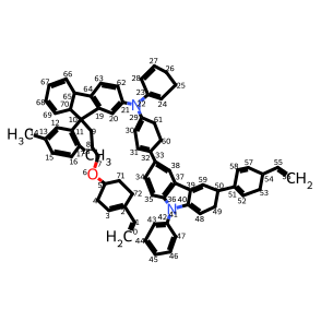 C=CC1=CCC(OCCCC2(c3cc(C)ccc3C)c3cc(N(C4=CCCC=C4)C4=CC=C(c5ccc6c(c5)c5c(n6-c6ccccc6)=CCC(C6=CCC(C=C)C=C6)C=5)CC4)ccc3C3C=CC=CC32)CC1